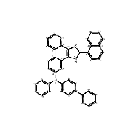 c1ccc(-c2ccc(N(c3ccccc3)c3ccc4c(c3)c3c(c5ccccc54)OC(c4cccc5ccccc45)N3)cc2)cc1